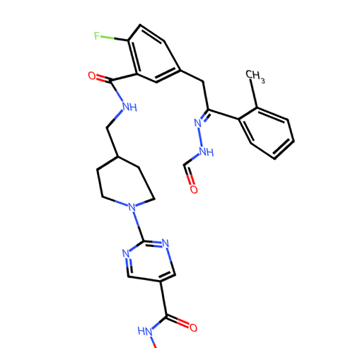 Cc1ccccc1/C(Cc1ccc(F)c(C(=O)NCC2CCN(c3ncc(C(=O)NO)cn3)CC2)c1)=N\NC=O